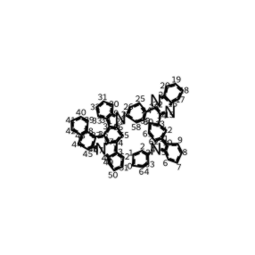 c1ccc(-n2c3ccccc3c3cc(-c4nc5ccccc5nc4-c4ccc(-n5c6ccccc6c6c7c8c9ccccc9ccc8n8c9ccccc9c(cc65)c78)cc4)ccc32)cc1